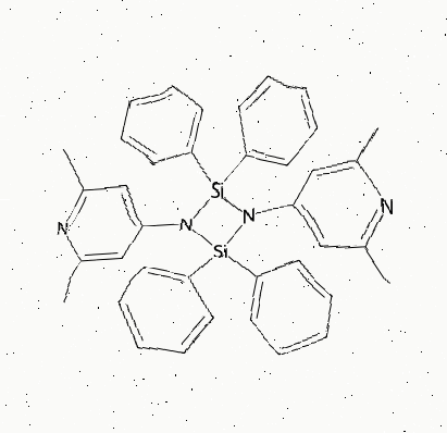 Cc1cc(N2[Si](c3ccccc3)(c3ccccc3)N(c3cc(C)nc(C)c3)[Si]2(c2ccccc2)c2ccccc2)cc(C)n1